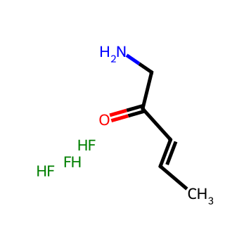 CC=CC(=O)CN.F.F.F